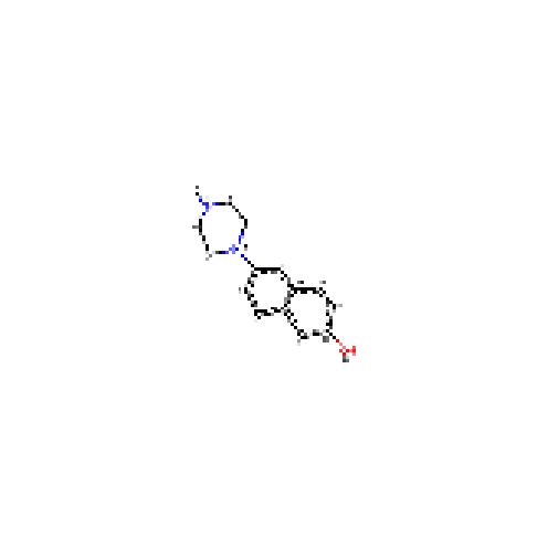 CN1CCN(c2ccc3cc(O)ccc3c2)CC1